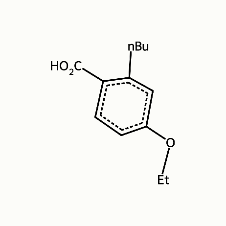 CCCCc1cc(OCC)ccc1C(=O)O